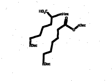 CCCCCCCCCCCCCCC(CCCCCC)C(=O)O.CCCCCCCCCCCCCCCC(=O)OCCCCCCCCCC